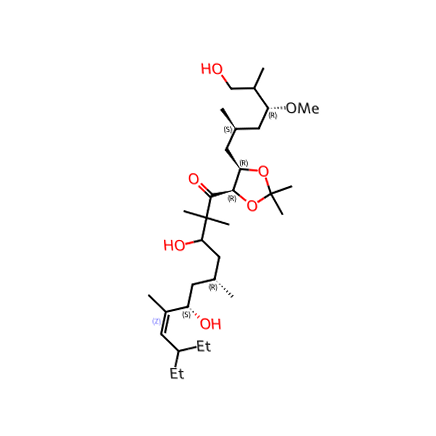 CCC(/C=C(/C)[C@@H](O)C[C@@H](C)CC(O)C(C)(C)C(=O)[C@@H]1OC(C)(C)O[C@@H]1C[C@@H](C)C[C@@H](OC)C(C)CO)CC